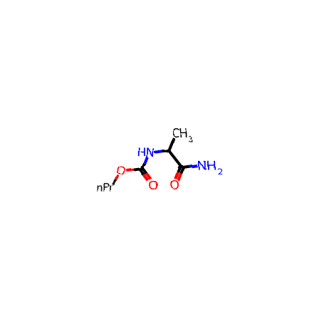 CCCOC(=O)NC(C)C(N)=O